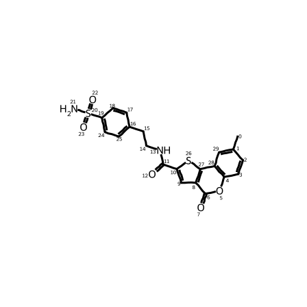 Cc1ccc2oc(=O)c3cc(C(=O)NCCc4ccc(S(N)(=O)=O)cc4)sc3c2c1